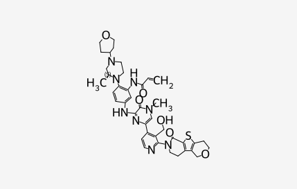 C=CC(=O)Nc1cc(Nc2nc(-c3ccnc(N4CCc5c(sc6c5COCC6)C4=O)c3CO)cn(C)c2=O)ccc1N1CCN(C2CCOCC2)C[C@@H]1C